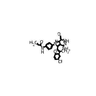 C=CC(=O)Nc1ccc(-n2nc3c(c2-c2oc4ccc(Cl)cc4c2C)C(N)=NNC3=C=O)cc1